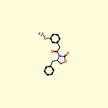 O=C(Cc1cccc(OC(F)(F)F)c1)N1C(=O)OCC1Cc1ccccc1